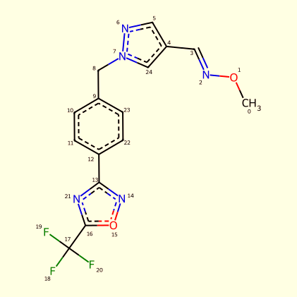 CON=Cc1cnn(Cc2ccc(-c3noc(C(F)(F)F)n3)cc2)c1